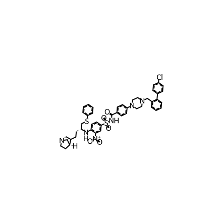 O=C(NS(=O)(=O)c1ccc(N[C@H](CCC2C[N@@]3CC[C@H]2C3)CSc2ccccc2)c([N+](=O)[O-])c1)c1ccc(N2CCN(Cc3ccccc3-c3ccc(Cl)cc3)CC2)cc1